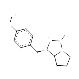 COc1ccc(C[C@H]2OP(Cl)N3CCC[C@@H]23)cc1